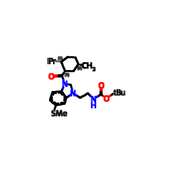 CSc1ccc2c(c1)N(CCNC(=O)OC(C)(C)C)CN2C(=O)[C@@H]1C[C@H](C)CC[C@H]1C(C)C